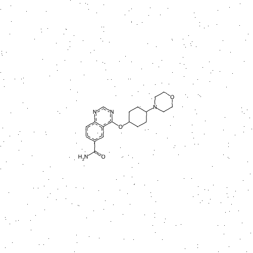 NC(=O)c1ccc2ncnc(OC3CCC(N4CCOCC4)CC3)c2c1